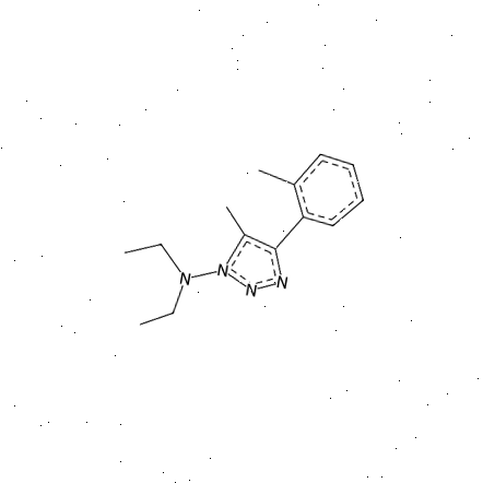 CCN(CC)n1nnc(-c2ccccc2C)c1C